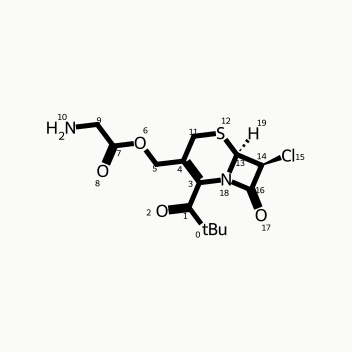 CC(C)(C)C(=O)C1=C(COC(=O)CN)CS[C@H]2[C@@H](Cl)C(=O)N12